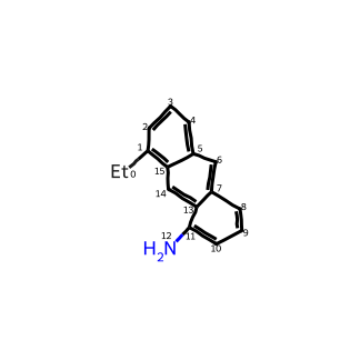 CCc1cccc2cc3cccc(N)c3cc12